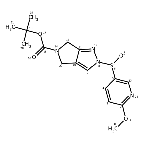 COc1ccc([S+]([O-])n2cc3c(n2)CN(C(=O)OC(C)(C)C)C3)cn1